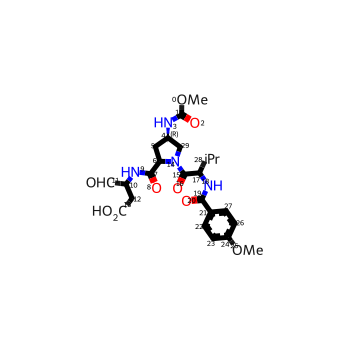 COC(=O)N[C@@H]1CC(C(=O)NC(C=O)CC(=O)O)N(C(=O)C(NC(=O)c2ccc(OC)cc2)C(C)C)C1